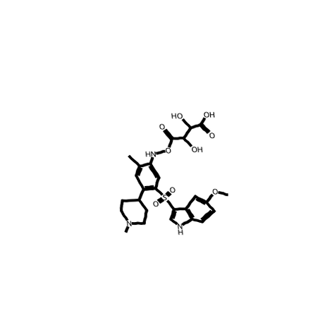 COc1ccc2[nH]cc(S(=O)(=O)c3cc(NOC(=O)C(O)C(O)C(=O)O)c(C)cc3C3CCN(C)CC3)c2c1